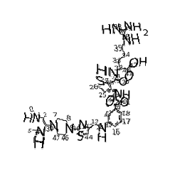 CN/C=C(\NC)N1CCN(c2nc(CNc3cccc(S(=O)(=O)Nc4ccsc4C(=O)N[C@@H](CCCNC(=N)N)C(=O)O)c3)cs2)CC1